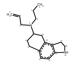 C=CCN(CCC)C1CCc2ccc3c(c2C1)CCN3